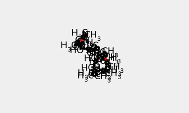 CN(C)c1ccc(CSc2cc(C(O)C=Cc3ccc(C(=O)OC(C=Cc4ccc(C(=O)O)c(OC(=O)c5ccc(C#CC(O)c6cc(N(C)Cc7ccc(N(C)C)cc7)c7c(c6)C(C)(C)CCC7(C)C)cc5O)c4)c4cc(N(C)Cc5ccc(N(C)C)cc5)c5c(c4)C(C)(C)CCC5(C)C)c(O)c3)cc3c2C(C)(C)CCC3(C)C)cc1